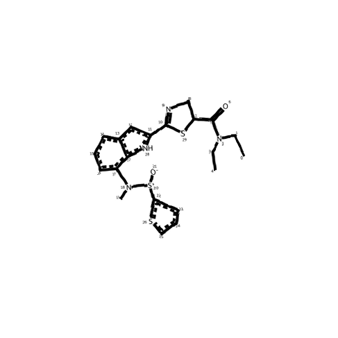 CCN(CC)C(=O)C1CN=C(c2cc3cccc(N(C)[S+]([O-])c4cccs4)c3[nH]2)S1